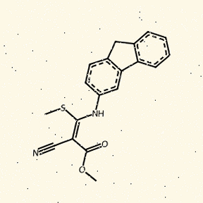 COC(=O)C(C#N)=C(Nc1ccc2c(c1)-c1ccccc1C2)SC